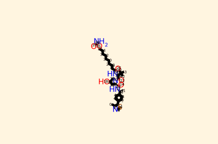 Cc1ncsc1-c1ccc([C@H](C)NC(=O)[C@@H]2C[C@@H](O)CN2C(=O)[C@@H](NC(=O)CCCCCCCCCOC(N)=O)C(C)(C)C)cc1